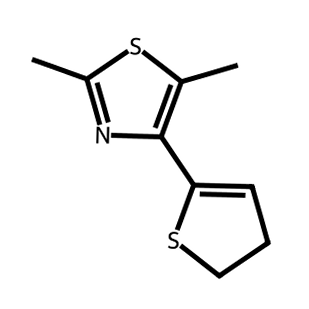 Cc1nc(C2=CCCS2)c(C)s1